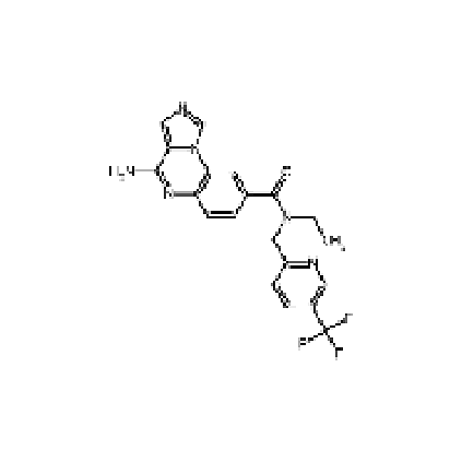 CCN(Cc1ccc(C(F)(F)F)cn1)C(=O)c1ccc2nc(N)c3cncn3c2c1